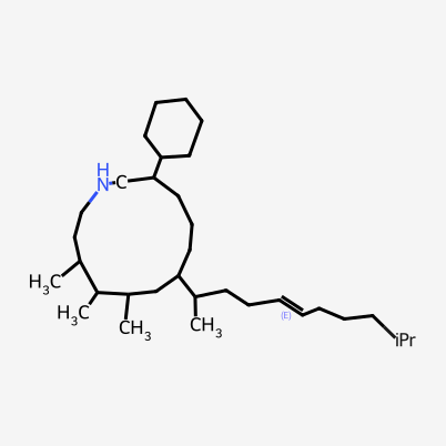 CC(C)CCC/C=C/CCC(C)C1CCCC(C2CCCCC2)CNCCC(C)C(C)C(C)C1